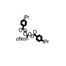 [CH2]CCCCCCCC[C](OOC(=O)c1ccc(C(C)C)cc1)OOC(=O)c1ccc(C(C)C)cc1